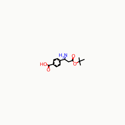 CC(C)(C)OC(=O)CC(N)c1ccc(C(=O)O)cc1